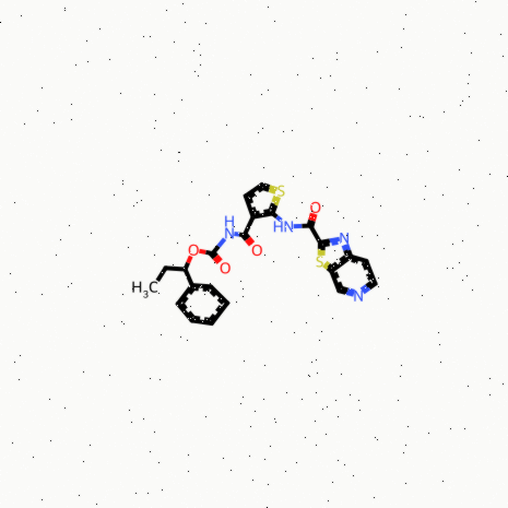 CCC(OC(=O)NC(=O)c1ccsc1NC(=O)c1nc2ccncc2s1)c1ccccc1